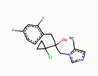 N#Cc1cncn1CC(O)(Cc1ccc(F)cc1F)C1(Cl)CC1